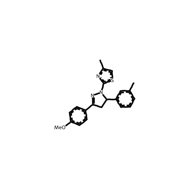 COc1ccc(C2=NN(c3nc(C)cs3)C(c3cccc(C)c3)C2)cc1